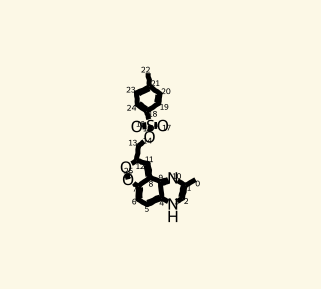 CC1=CNc2ccc3c(c2=N1)=CC(COS(=O)(=O)c1ccc(C)cc1)OO3